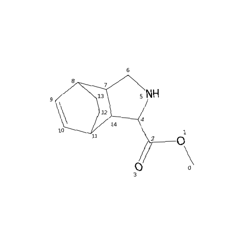 COC(=O)C1NCC2C3C=CC(CC3)C12